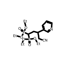 CCOP(=O)(OCC)C(CC(CC#N)c1cccnc1)P(=O)(OCC)OCC